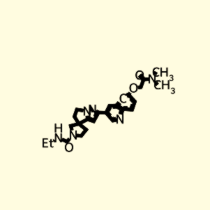 CCNC(=O)N1CCC2(CCn3nc(-c4cnc5ccc(OCC(=O)N(C)C)cc5c4)cc32)C1